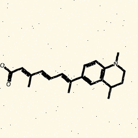 CC(/C=C/C=C(\C)c1ccc2c(c1)C(C)CCN2C)=C\C(=O)O